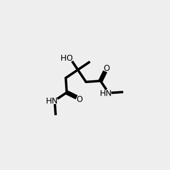 CNC(=O)CC(C)(O)CC(=O)NC